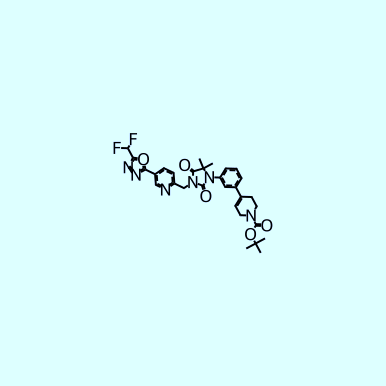 CC(C)(C)OC(=O)N1CC=C(c2cccc(N3C(=O)N(Cc4ccc(-c5nnc(C(F)F)o5)cn4)C(=O)C3(C)C)c2)CC1